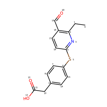 CCc1nc(Sc2ccc(CC(=O)O)cc2)ccc1C=O